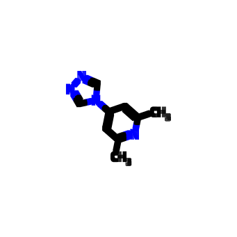 Cc1cc(-n2cnnc2)cc(C)n1